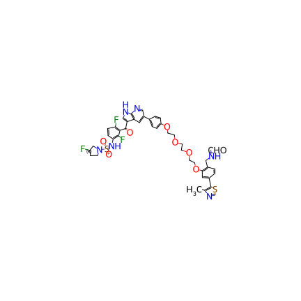 Cc1ncsc1-c1ccc(CNC=O)c(OCCOCCOCCOc2ccc(-c3cnc4[nH]cc(C(=O)c5c(F)ccc(NS(=O)(=O)N6CC[C@@H](F)C6)c5F)c4c3)cc2)c1